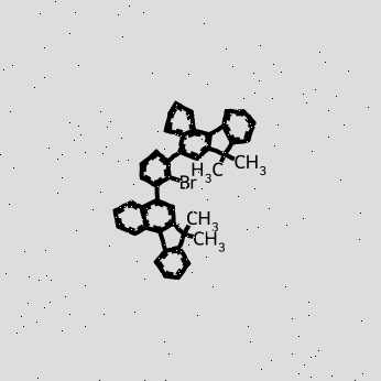 CC1(C)c2ccccc2-c2c1cc(-c1cccc(-c3cc4c(c5ccccc35)-c3ccccc3C4(C)C)c1Br)c1ccccc21